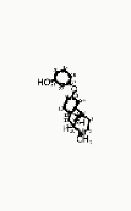 CN1CC[C@]23CCCC[C@H]2[C@H]1Cc1ccc(Oc2cccc(O)c2)cc13